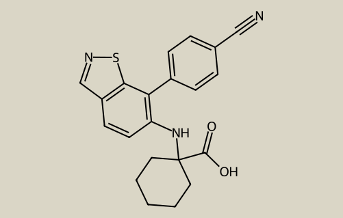 N#Cc1ccc(-c2c(NC3(C(=O)O)CCCCC3)ccc3cnsc23)cc1